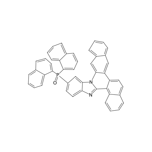 O=P(c1ccc2nc3c4c5ccccc5ccc4c4cc5ccccc5cc4n3c2c1)(c1cccc2ccccc12)c1cccc2ccccc12